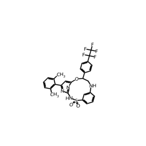 Cc1cccc(C)c1-c1cc2nc(n1)NS(=O)(=O)c1cccc(c1)NCC(c1ccc(C(F)(F)C(F)(F)F)cc1)O2